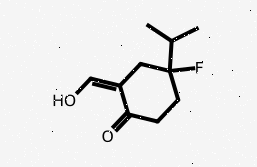 CC(C)C1(F)CCC(=O)/C(=C\O)C1